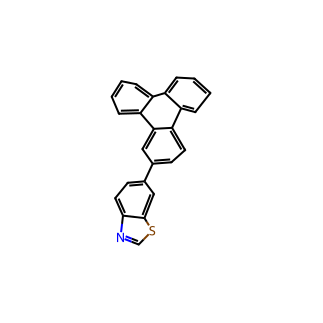 c1ccc2c(c1)c1ccccc1c1cc(-c3ccc4ncsc4c3)ccc21